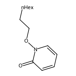 CCCCCCCCOn1ccccc1=O